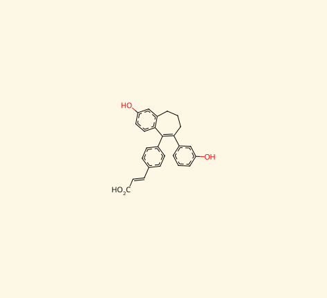 O=C(O)C=Cc1ccc(C2=C(c3cccc(O)c3)CCCc3cc(O)ccc32)cc1